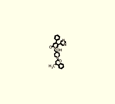 C[C@H](CC(=O)N1CCC(O)(Cn2cc(-c3cncnc3)c(-c3ccccc3)cc2=O)CC1)c1ccccc1